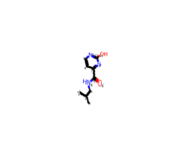 CC(C)CNC(=O)c1ccnc(O)n1